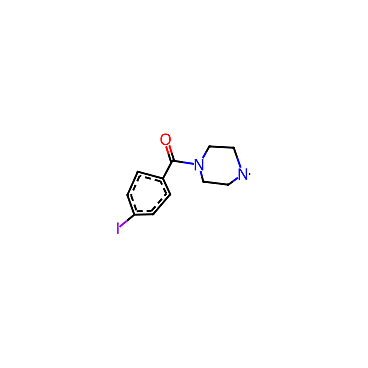 O=C(c1ccc(I)cc1)N1CC[N]CC1